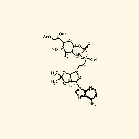 CC(=O)OC[C@@H](OC(C)=O)C1O[C@@H](OP(=O)(O)OP(=O)(O)OC[C@H]2O[C@@H](n3cnc4c(N)ccnc43)[C@H]3OC(C)(C)OC23)C(O)[C@@H](O)[C@@H]1O